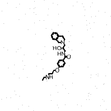 CCNCCCOc1ccc(C(=O)NC[C@H](O)CN2CCc3ccccc3C2)cc1